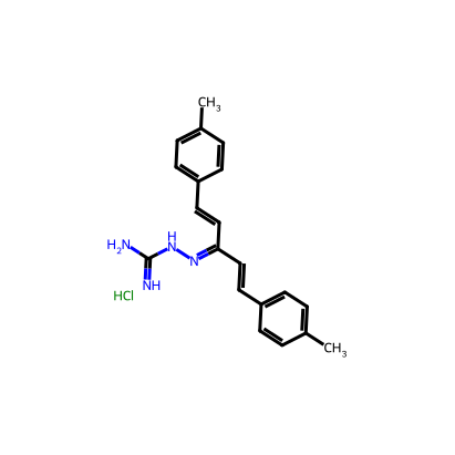 Cc1ccc(C=CC(C=Cc2ccc(C)cc2)=NNC(=N)N)cc1.Cl